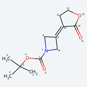 CC(C)(C)OC(=O)N1CC(=C2CCOC2=O)C1